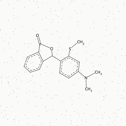 CSc1cc(N(C)C)ccc1C1OC(=O)c2ccccc21